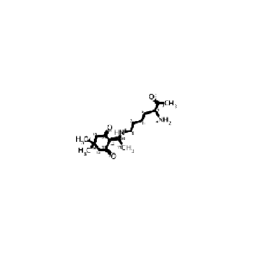 CC(=O)C(N)CCCCNC(C)=C1C(=O)CC(C)(C)CC1=O